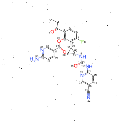 CCC(=O)c1ccc(F)c([C@H]2C[C@H]2NC(=O)Nc2ccc(C#N)cn2)c1OC(=O)c1ccc(N)nc1